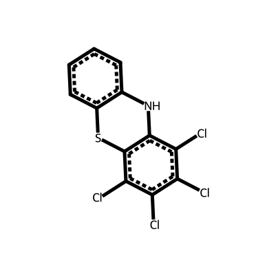 Clc1c(Cl)c(Cl)c2c(c1Cl)Nc1ccccc1S2